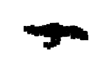 Cc1cc(C(=O)N[C@H]2CCNC2)ccc1-c1ccc(C[C@H](NC(=O)[C@H]2CC[C@H](CN)CC2)C(=O)Nc2ccc(-c3nnc(C(F)(F)C(F)(F)C(=O)O)[nH]3)cc2)cc1.Cl